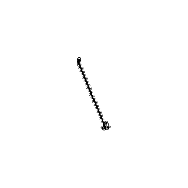 CO[Si](CCCCCCCCCCCCCCCCCCCCCCCCCCCCCCCCCCCCN=C=O)(OC)OC